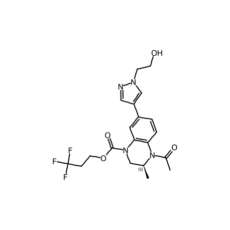 CC(=O)N1c2ccc(-c3cnn(CCO)c3)cc2N(C(=O)OCCC(F)(F)F)C[C@@H]1C